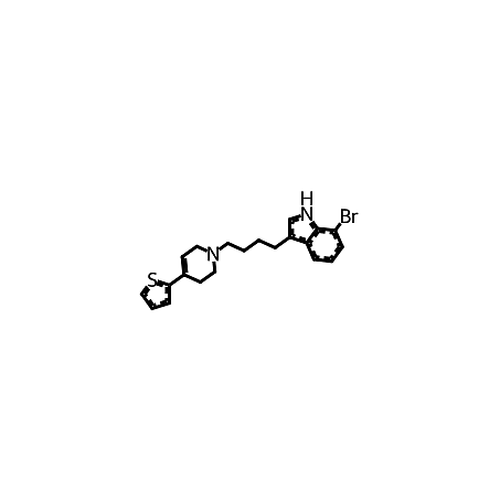 Brc1cccc2c(CCCCN3CC=C(c4cccs4)CC3)c[nH]c12